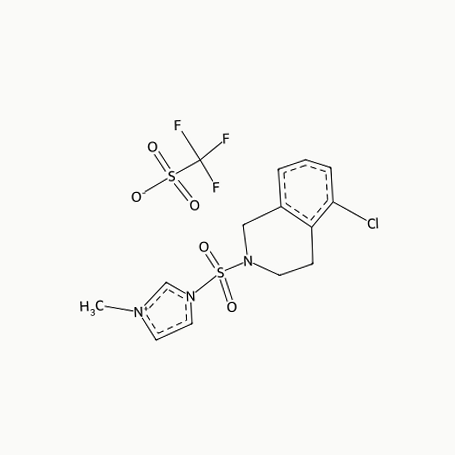 C[n+]1ccn(S(=O)(=O)N2CCc3c(Cl)cccc3C2)c1.O=S(=O)([O-])C(F)(F)F